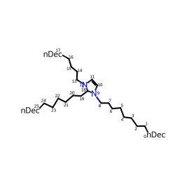 CCCCCCCCCCCCCCCCCCN1C=CN(CCCCCCCCCCCCCC)C1CCCCCCCCCCCCCCCC